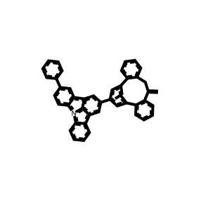 C=C1Cc2ccccc2-c2cc(-c3cc4c5ccccc5n5c6ccc(-c7ccccc7)cc6c(c3)c45)cc(c2C)-c2ccccc21